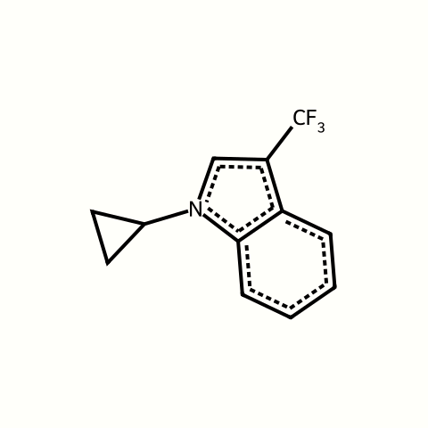 FC(F)(F)c1cn(C2CC2)c2ccccc12